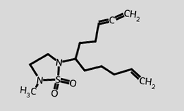 C=C=CCCC(CCCC=C)N1CCN(C)S1(=O)=O